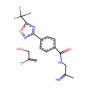 C=C(Cl)CO.CC(=N)CNC(=O)c1ccc(-c2noc(C(F)(F)F)n2)cc1